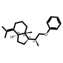 CC(C)=C1CCC[C@]2(C)[C@@H]([C@H](C)COc3ccccc3)CC[C@@H]12